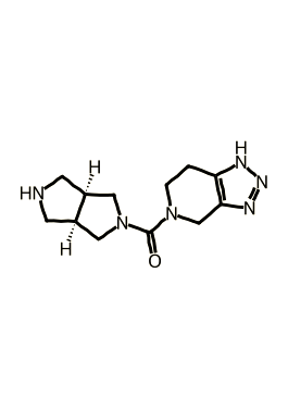 O=C(N1CCc2[nH]nnc2C1)N1C[C@H]2CNC[C@H]2C1